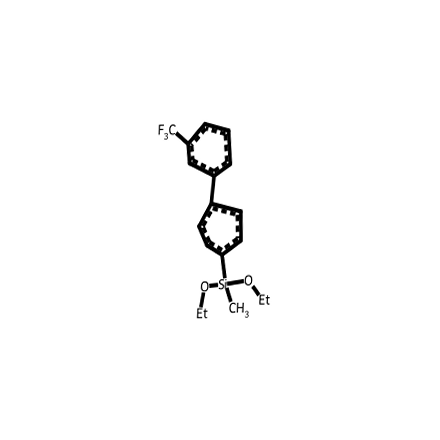 CCO[Si](C)(OCC)c1ccc(-c2cccc(C(F)(F)F)c2)cc1